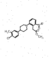 COC(=O)Cc1c(N2CCC(c3ccc(Cl)c(C)c3)CC2)cccc1[N+](=O)[O-]